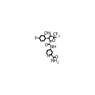 C[C@@H]1[C@H](c2ccc(F)cc2O)[C@@H](C(=O)Nc2ccnc(C(N)=O)c2)O[C@]1(C)C(F)(F)F